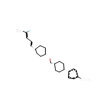 CCCCCc1ccc([C@H]2CC[C@H](CO[C@H]3CC[C@H](C=CC=C(F)C#N)CC3)CC2)cc1